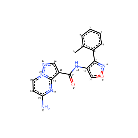 Cc1ccccc1-c1nocc1NC(=O)c1cnn2ccc(N)nc12